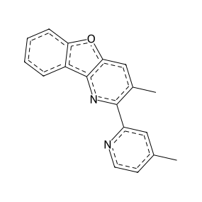 Cc1ccnc(-c2nc3c(cc2C)oc2ccccc23)c1